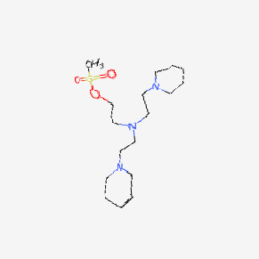 CS(=O)(=O)OCCN(CCN1CCCCC1)CCN1CCCCC1